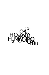 CC(C)C(=O)N1CCN(C(=O)OC(C)(C)C)CC12CN([C@@H](CO)C(N)=O)C2O